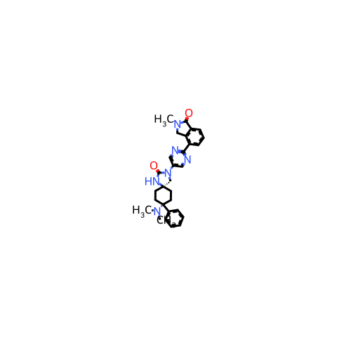 CN1Cc2c(cccc2-c2ncc(N3C[C@]4(CC[C@@](c5ccccc5)(N(C)C)CC4)NC3=O)cn2)C1=O